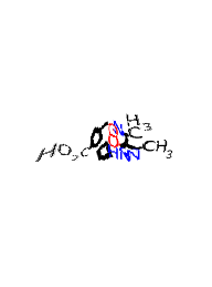 CC(=NOCc1ccc(C(=O)O)cc1)c1c(C)n[nH]c1Oc1ccccc1